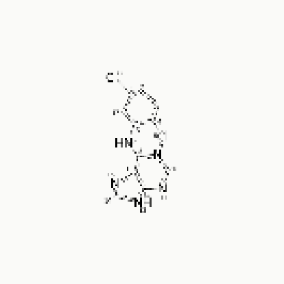 Clc1ccc(Cl)c(Nc2ncnc3[nH]cnc23)c1